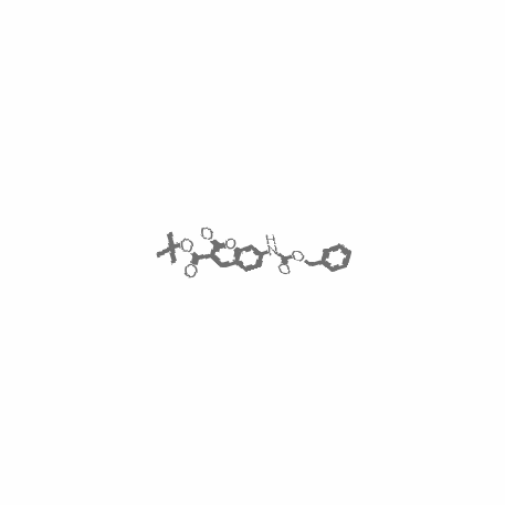 CC(C)(C)OC(=O)c1cc2ccc(NC(=O)OCc3ccccc3)cc2oc1=O